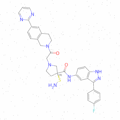 NS[C@@]1(C(=O)Nc2ccc3[nH]nc(-c4ccc(F)cc4)c3c2)CCN(CC(=O)N2CCc3cc(-c4ncccn4)ccc3C2)C1